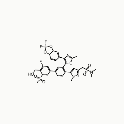 Cc1nc(C2=CC3OC(F)(F)OC3C=C2)c(-c2cc(-c3cc(F)c(CO)c(S(C)(=O)=O)c3)ccc2-c2cc(CS(=O)(=O)N(C)C)nn2C)o1